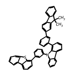 CC1(C)c2ccccc2-c2ccc(-c3cccc(-c4cccc5c6ccccc6n(-c6cccc(-c7cccc8c7sc7ccccc78)c6)c45)c3)cc21